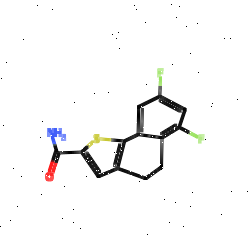 NC(=O)c1cc2c(s1)-c1cc(F)cc(F)c1CC2